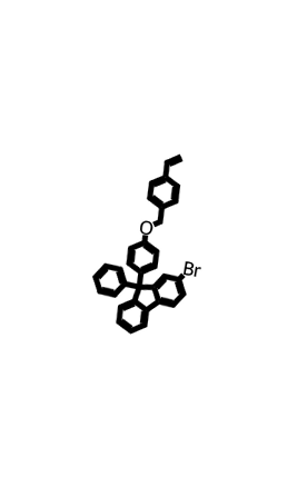 C=Cc1ccc(COc2ccc(C3(c4ccccc4)c4ccccc4-c4ccc(Br)cc43)cc2)cc1